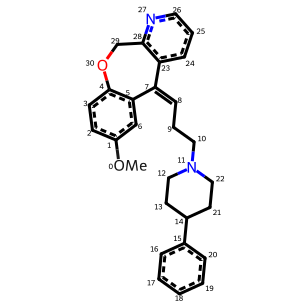 COc1ccc2c(c1)C(=CCCN1CCC(c3ccccc3)CC1)c1cccnc1CO2